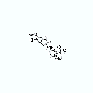 COc1cc2[nH]c(=O)c([C@H](C)Nc3nc(C)nc(N4C(=O)OCC4C(C)(C)C)n3)cc2cc1Cl